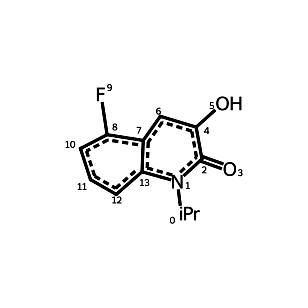 CC(C)n1c(=O)c(O)cc2c(F)cccc21